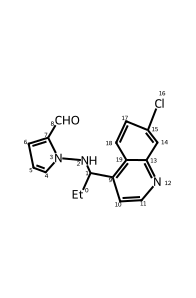 CCC(Nn1cccc1C=O)c1ccnc2cc(Cl)ccc12